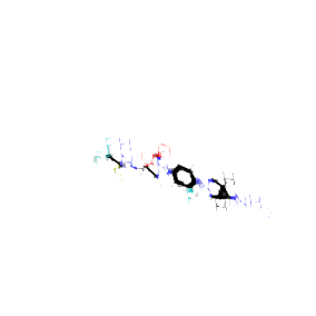 NC1[C@H]2CN(c3ccc(N4C[C@H](CNC(=S)C(F)F)OC4=O)cc3F)C[C@@H]12